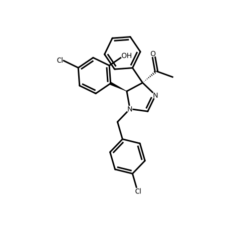 CC(=O)[C@]1(c2ccccc2)N=CN(Cc2ccc(Cl)cc2)[C@H]1c1ccc(Cl)cc1O